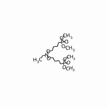 CCN(OCCCCP(=O)(OC)OC)OCCCCP(=O)(OC)OC